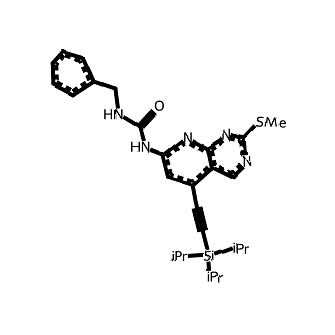 CSc1ncc2c(C#C[Si](C(C)C)(C(C)C)C(C)C)cc(NC(=O)NCc3ccccc3)nc2n1